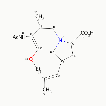 CC=CC1CC(C(=O)O)N(C[C@@H](C)C(=COCC)NC(C)=O)C1